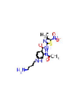 CC(=O)Nc1cc(NCCCCN)ccc1C(=O)Nc1nc(C)c([N+](=O)[O-])s1